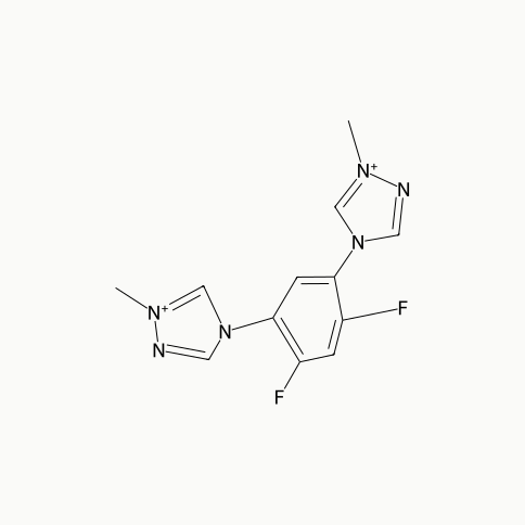 C[n+]1cn(-c2cc(-n3cn[n+](C)c3)c(F)cc2F)cn1